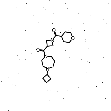 O=C(C1CN(C(=O)C2CCOCC2)C1)N1CCCN(C2CCC2)CC1